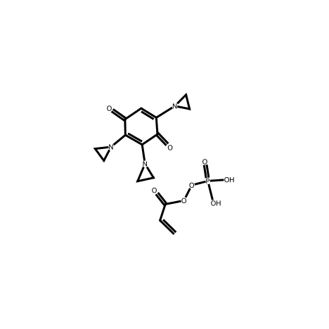 C=CC(=O)OOP(=O)(O)O.O=C1C=C(N2CC2)C(=O)C(N2CC2)=C1N1CC1